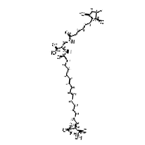 CC1CC(=O)N(CCCCCC(=O)NC[C@@H](NC(=O)CCCCCCCCCCCCCCCC(C(=O)O)P(=O)(O)O)C(=O)O)C1=O